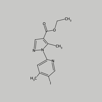 CCOC(=O)c1cnn(-c2cc(C)c(I)cn2)c1C